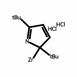 CC(C)(C)C1=N[C]([Zr])(C(C)(C)C)C=C1.Cl.Cl